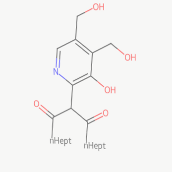 CCCCCCCC(=O)C(C(=O)CCCCCCC)c1ncc(CO)c(CO)c1O